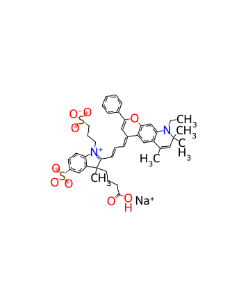 CCN1c2cc3c(cc2C(C)=CC1(C)C)C(=CC=CC1=[N+](CCCS(=O)(=O)[O-])c2ccc(S(=O)(=O)[O-])cc2C1(C)CCCC(=O)O)C=C(c1ccccc1)O3.[Na+]